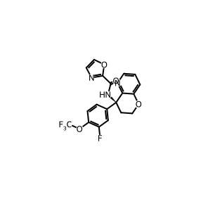 O=C(N[C@]1(c2ccc(OC(F)(F)F)c(F)c2)CCOc2cccnc21)c1ncco1